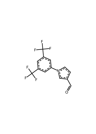 O=Cc1ccn(-c2cc(C(F)(F)F)cc(C(F)(F)F)c2)c1